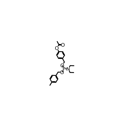 CCN(CC)P(OCc1ccc(C)cc1)OCc1ccc(OC(C)=O)cc1